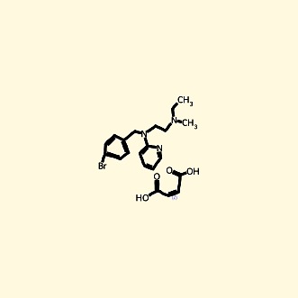 CCN(C)CCN(Cc1ccc(Br)cc1)c1ccccn1.O=C(O)/C=C\C(=O)O